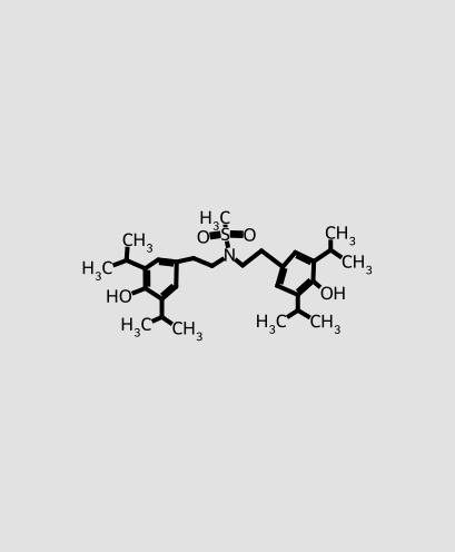 CC(C)c1cc(CCN(CCc2cc(C(C)C)c(O)c(C(C)C)c2)S(C)(=O)=O)cc(C(C)C)c1O